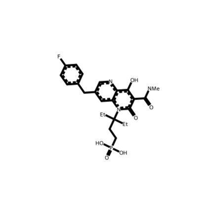 CCC(CC)(CCP(=O)(O)O)n1c(=O)c(C(=O)NC)c(O)c2ncc(Cc3ccc(F)cc3)cc21